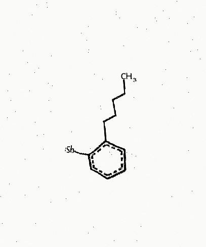 CCCCCc1cccc[c]1[Sb]